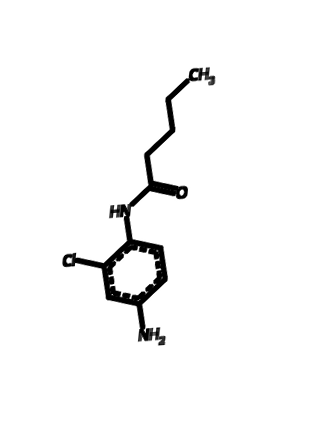 CCCCC(=O)Nc1ccc(N)cc1Cl